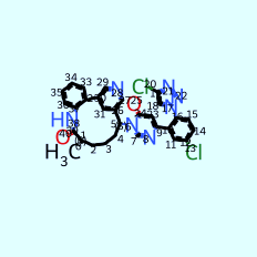 C[C@@H]1CCC[C@H](n2cnc(-c3cc(Cl)ccc3-n3cc(Cl)nn3)cc2=O)c2cncc(c2)-c2ccccc2NC1=O